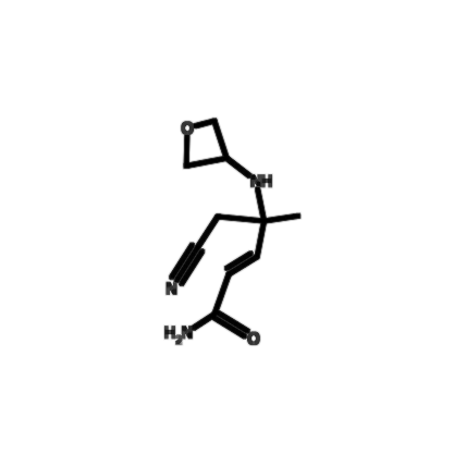 CC(C=CC(N)=O)(CC#N)NC1COC1